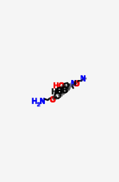 C/C(=N\OCCN(C)C)[C@H]1CC[C@]2(O)[C@@H]3CC[C@@H]4C[C@@H](OCCCN)CC[C@]4(C)[C@H]3CC[C@]12C